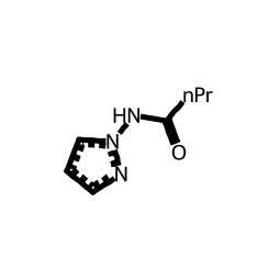 CCCC(=O)Nn1cccn1